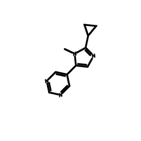 Cn1c(-c2cncnc2)cnc1C1CC1